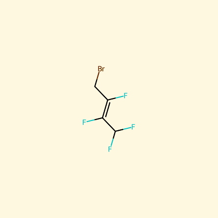 FC(CBr)=C(F)C(F)F